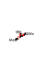 COCCOCC(COCCOC)OCC(C)(C)C